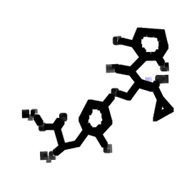 COC(=O)C(C)Cc1ccc(OC/C(C(=N)c2c(Cl)cccc2Cl)=C(/O)C2CC2)cc1Cl